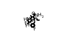 CCSC1=C(C(N)=O)C(C)=C2NC=C(C(F)(F)F)C=C2N1Cc1cccc(F)c1